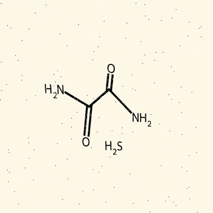 NC(=O)C(N)=O.S